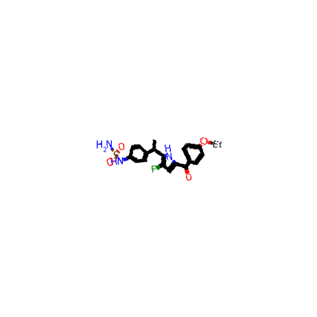 CCOc1ccc(C(=O)c2cc(F)c(C(C)c3ccc(NS(N)(=O)=O)cc3)[nH]2)cc1